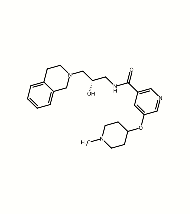 CN1CCC(Oc2cncc(C(=O)NC[C@H](O)CN3CCc4ccccc4C3)c2)CC1